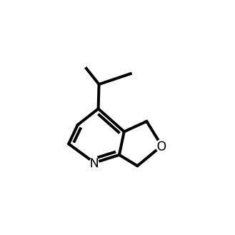 CC(C)c1ccnc2c1COC2